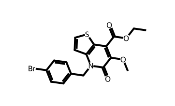 CCOC(=O)c1c(OC)c(=O)n(Cc2ccc(Br)cc2)c2ccsc12